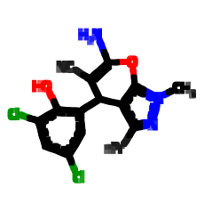 CCCc1nn(C)c2c1C(c1cc(Cl)cc(Cl)c1O)C(C#N)=C(N)O2